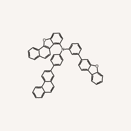 c1cc(-c2ccc3c(c2)oc2ccccc23)cc(N(c2ccc(-c3ccc4c(ccc5ccccc54)c3)cc2)c2cccc3oc4c5ccccc5ccc4c23)c1